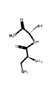 CCC(C)[C@H](NC(=O)[C@@H](N)CN)C(N)=O